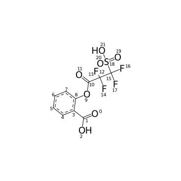 O=C(O)c1ccccc1OC(=O)C(F)(F)C(F)(F)S(=O)(=O)O